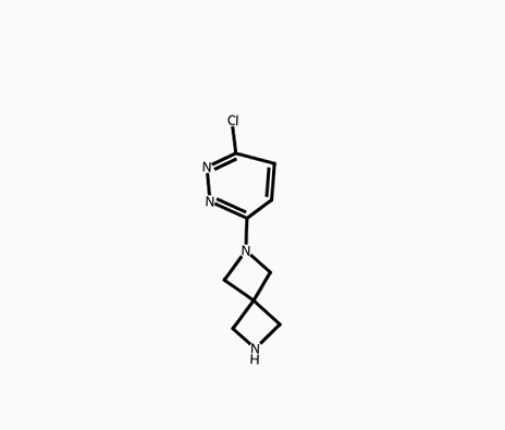 Clc1ccc(N2CC3(CNC3)C2)nn1